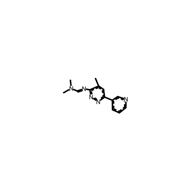 Cc1cc(-c2cccnc2)nnc1N=CN(C)C